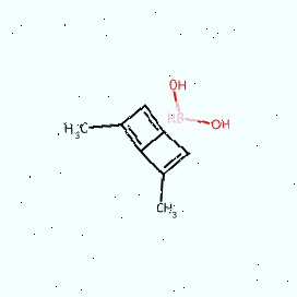 Cc1cc2cc(C)c1-2.OBO